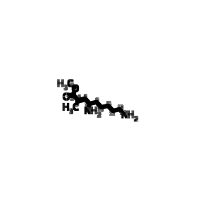 COC(=O)C(C)=CC(N)CCCCCN